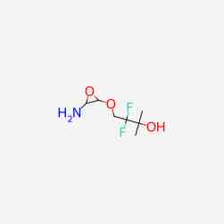 CC(C)(O)C(F)(F)COC1OC1N